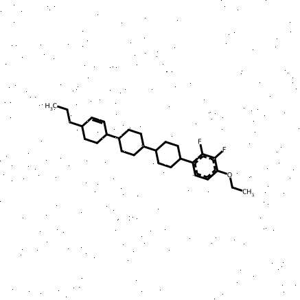 CCCC1C=CC(C2CCC(C3CCC(c4ccc(OCC)c(F)c4F)CC3)CC2)CC1